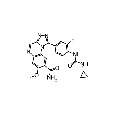 COc1cc2ncc3nnc(-c4ccc(NC(=O)NC5CC5)c(F)c4)n3c2cc1C(N)=O